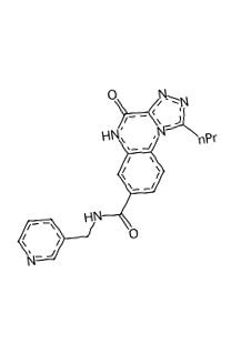 CCCc1nnc2c(=O)[nH]c3cc(C(=O)NCc4cccnc4)ccc3n12